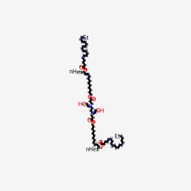 CC/C=C\C/C=C\C/C=C\C/C=C\C/C=C\CCCC(=O)OC(C/C=C\CCCCCCCCOC(=O)CCN(CCO)CCN(CCO)CCC(=O)OCCCCCCCC/C=C\CC(CCCCCC)OC(=O)CCC/C=C\C/C=C\C/C=C\C/C=C\C/C=C\CC)CCCCCC